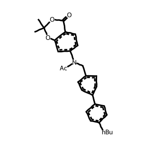 CCCCc1ccc(-c2ccc(CN(C(C)=O)c3ccc4c(c3)OC(C)(C)OC4=O)cc2)cc1